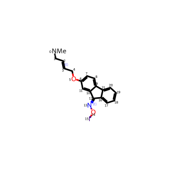 CNC/C=C/COc1ccc2c(c1)/C(=N/OI)c1ccccc1-2